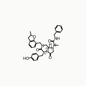 CC1Cc2cccc(CN3C[C@H]4N(C(=O)CN4N(C)C(=O)NCc4ccccc4)[C@@H](Cc4ccc(O)cc4)C3=O)c2O1